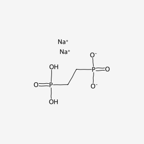 O=P([O-])([O-])CCP(=O)(O)O.[Na+].[Na+]